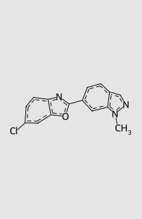 Cn1ncc2ccc(-c3nc4ccc(Cl)cc4o3)cc21